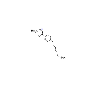 CCCCCCCCCCCCCCCCc1ccc(C(=O)/C=C\C(=O)O)cc1